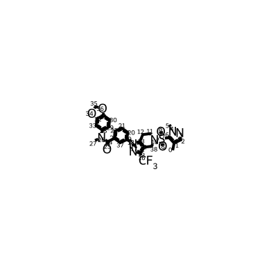 Cc1cnn(C)c1S(=O)(=O)N1CCc2c(c(C(F)(F)F)nn2-c2cccc(C(=O)N(C)c3ccc4c(c3)OCO4)c2)C1